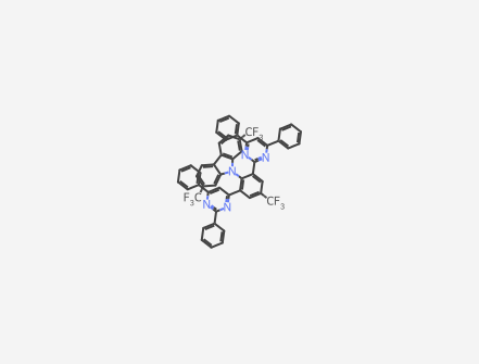 FC(F)(F)c1cc(-c2cc(-c3ccccc3)nc(-c3ccccc3)n2)c(-n2c3cc(C(F)(F)F)ccc3c3ccc(C(F)(F)F)cc32)c(-c2nc(-c3ccccc3)cc(-c3ccccc3)n2)c1